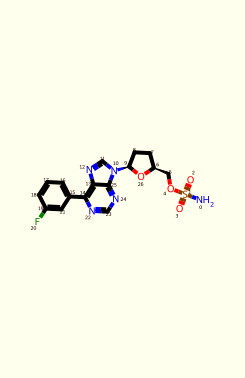 NS(=O)(=O)OC[C@@H]1CC[C@H](n2cnc3c(-c4cccc(F)c4)ncnc32)O1